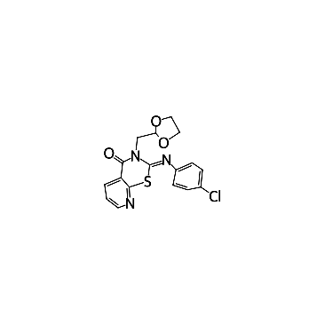 O=c1c2cccnc2sc(=Nc2ccc(Cl)cc2)n1CC1OCCO1